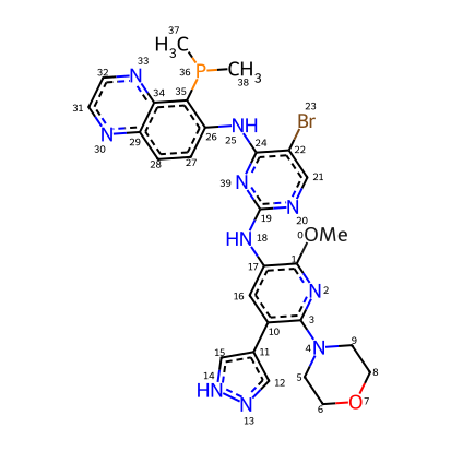 COc1nc(N2CCOCC2)c(-c2cn[nH]c2)cc1Nc1ncc(Br)c(Nc2ccc3nccnc3c2P(C)C)n1